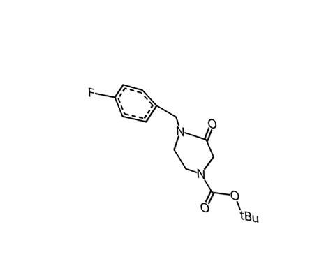 CC(C)(C)OC(=O)N1CCN(Cc2ccc(F)cc2)C(=O)C1